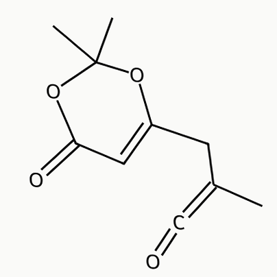 CC(=C=O)CC1=CC(=O)OC(C)(C)O1